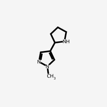 Cn1cc(C2CCCN2)cn1